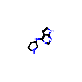 c1nc(NC2CCCNC2)c2cc[nH]c2n1